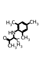 CC(=O)C(C)Nc1c(C)cc(C)cc1C